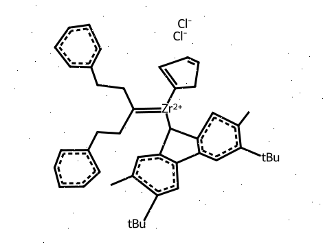 Cc1cc2c(cc1C(C)(C)C)-c1cc(C(C)(C)C)c(C)cc1[CH]2[Zr+2]([C]1=CC=CC1)=[C](CCc1ccccc1)CCc1ccccc1.[Cl-].[Cl-]